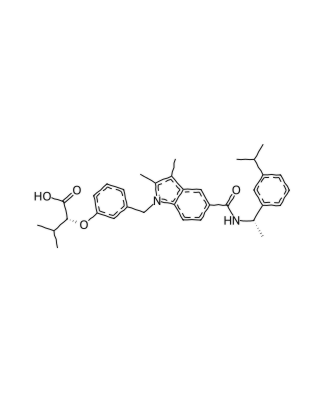 Cc1c(C)n(Cc2cccc(O[C@@H](C(=O)O)C(C)C)c2)c2ccc(C(=O)N[C@@H](C)c3cccc(C(C)C)c3)cc12